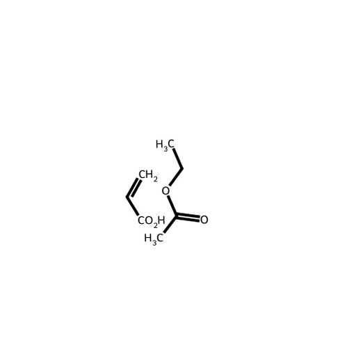 C=CC(=O)O.CCOC(C)=O